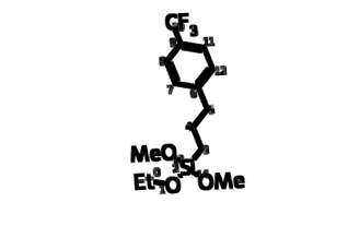 CCO[Si](CCCc1ccc(C(F)(F)F)cc1)(OC)OC